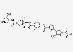 Cn1c(-c2cn([C@@H]3CC3(F)F)nc2C(F)(F)F)cnc1C(=O)Nc1ccc(C(=O)N[C@H]2[C@@H]3CN(C(=O)N[C@@H]4CNC[C@H]4O)C[C@@H]32)c(Cl)c1